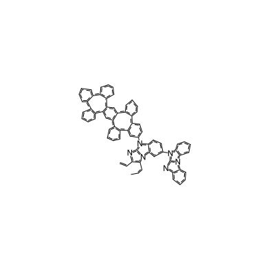 C=Cc1nc2n(-c3ccc4c5ccccc5c5cc6c7ccccc7c7ccccc7c7ccccc7c6cc5c5ccccc5c4c3)c3ccc(-n4c5ccccc5n5c6ccccc6nc45)cc3n2c1/C=C\C